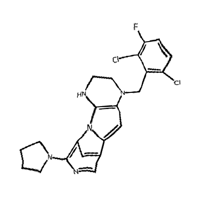 Fc1ccc(Cl)c(CN2CCNc3c2cc2c4cnc(N5CCCC5)c(c4)n32)c1Cl